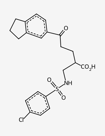 O=C(CCC(CNS(=O)(=O)c1ccc(Cl)cc1)C(=O)O)c1ccc2c(c1)CCC2